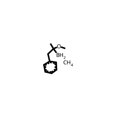 BC(C)(Cc1ccccc1)OC.C